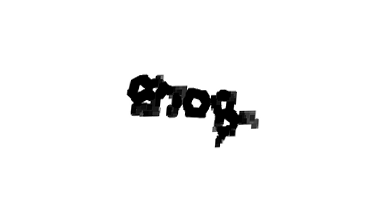 COc1cccc2sc(NC(=O)[C@H]3CC[C@@H](n4cnc5c(N)nc(F)nc54)CC3)nc12